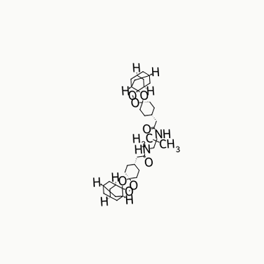 CC(C)(CNC(=O)C[C@H]1CC[C@]2(CC1)OO[C@]1(O2)[C@H]2C[C@@H]3C[C@H](C2)C[C@H]1C3)NC(=O)C[C@H]1CC[C@]2(CC1)OO[C@]1(O2)[C@H]2C[C@@H]3C[C@H](C2)C[C@H]1C3